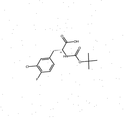 CC(C)(C)OC(=O)N[C@H](Cc1ccc(F)c(Cl)c1)C(=O)O